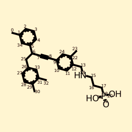 Cc1cccc(C(C#Cc2ccc(CNCCCP(=O)(O)O)c(C)c2)Cc2ccc(C)c(C)c2)c1